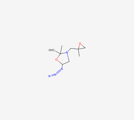 CC1(CN2CC(N=[N+]=[N-])OC2(C)C=O)CO1